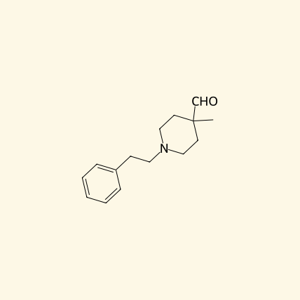 CC1(C=O)CCN(CCc2ccccc2)CC1